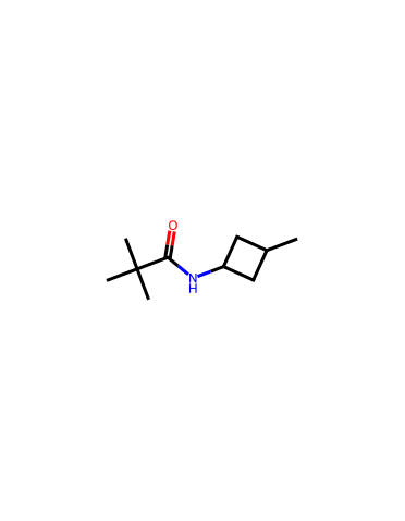 CC1CC(NC(=O)C(C)(C)C)C1